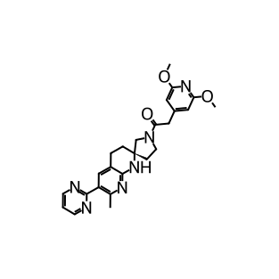 COc1cc(CC(=O)N2CC[C@@]3(CCc4cc(-c5ncccn5)c(C)nc4N3)C2)cc(OC)n1